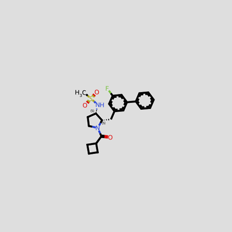 CS(=O)(=O)N[C@H]1CCN(C(=O)C2CCC2)[C@H]1Cc1cc(F)cc(-c2ccccc2)c1